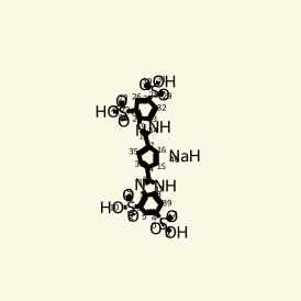 O=S(=O)(O)c1cc(S(=O)(=O)O)c2nc(-c3ccc(-c4nc5c(S(=O)(=O)O)cc(S(=O)(=O)O)cc5[nH]4)cc3)[nH]c2c1.[NaH]